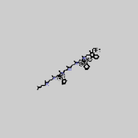 CCOc1c(C)c(C/C=C(\C)C(C/C=C(\C)CC/C=C(\C)CC/C=C(\C)C(C/C=C(\C)CC/C=C(\C)CCC=C(C)C)S(=O)(=O)c2ccccc2)S(=O)(=O)c2ccccc2)c(OCC)c2ccccc12